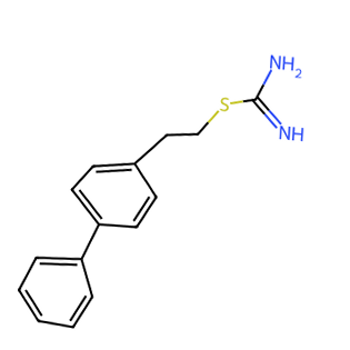 N=C(N)SCCc1ccc(-c2ccccc2)cc1